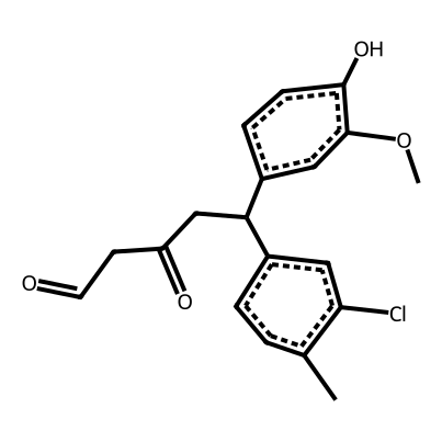 COc1cc(C(CC(=O)CC=O)c2ccc(C)c(Cl)c2)ccc1O